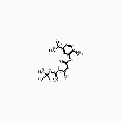 CC(CC(=O)Oc1cc(C(C)C)ccc1N)NC(=O)OC(C)(C)C